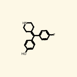 Oc1ccc(C(=C2CCNCC2)c2ccc(F)cc2)cc1